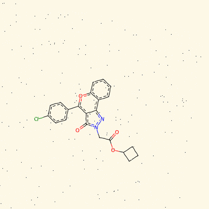 O=C(Cn1nc2c3ccccc3oc(-c3ccc(Cl)cc3)c-2c1=O)OC1CCC1